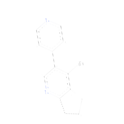 CC(C)c1c(-c2ccncc2)cnc2c1CCC2